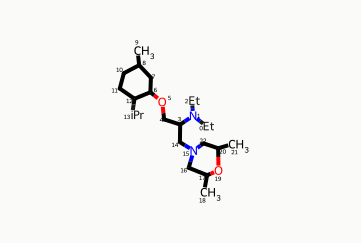 CCN(CC)C(COC1CC(C)CCC1C(C)C)CN1CC(C)OC(C)C1